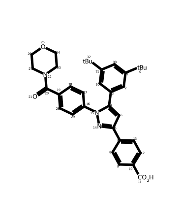 CC(C)(C)c1cc(-c2cc(-c3ccc(C(=O)O)cc3)nn2-c2ccc(C(=O)N3CCOCC3)cc2)cc(C(C)(C)C)c1